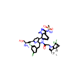 Cn1nc(NS(C)(=O)=O)c2cccc(-c3ccc(C#C[C@@H](N)CO)nc3C(Cc3cc(F)cc(F)c3)NC(=O)Cn3cc(C(F)(F)F)c4c3C(F)(F)C3C[C@H]43)c21